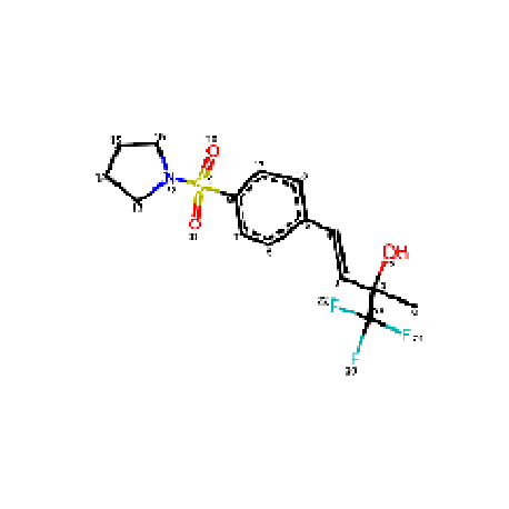 CC(O)(C=Cc1ccc(S(=O)(=O)N2CCCC2)cc1)C(F)(F)F